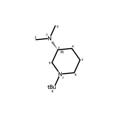 CN(C)[C@@H]1CCCN(C(C)(C)C)C1